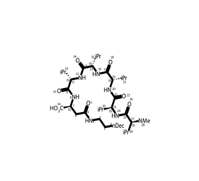 CCCCCCCCCCCCNC(=O)C[C@H](NC(=O)[C@@H](NC(=O)[C@@H](NC(=O)[C@@H](NC(=O)[C@@H](NC(=O)[C@@H](NC)C(C)C)C(C)C)C(C)C)C(C)C)C(C)C)C(=O)O